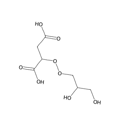 O=C(O)CC(OOCC(O)CO)C(=O)O